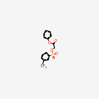 O=C(COS(=O)(=O)c1cccc(C(F)(F)F)c1)Oc1ccccc1